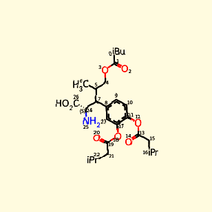 CCC(C)C(=O)OCC(C)C(c1ccc(OC(=O)CC(C)C)c(OC(=O)CC(C)C)c1)[C@H](N)C(=O)O